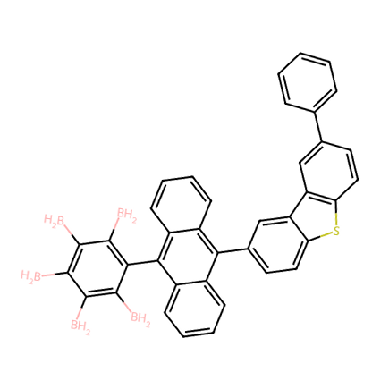 Bc1c(B)c(B)c(-c2c3ccccc3c(-c3ccc4sc5ccc(-c6ccccc6)cc5c4c3)c3ccccc23)c(B)c1B